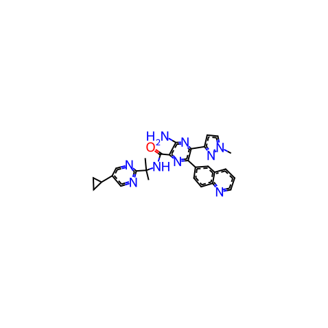 Cn1ccc(-c2nc(N)c(C(=O)NC(C)(C)c3ncc(C4CC4)cn3)nc2-c2ccc3ncccc3c2)n1